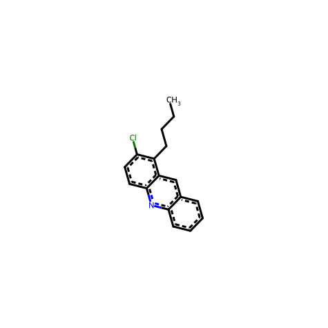 CCCCc1c(Cl)ccc2nc3ccccc3cc12